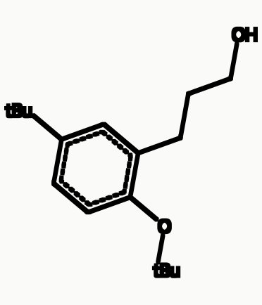 CC(C)(C)Oc1ccc(C(C)(C)C)cc1CCCO